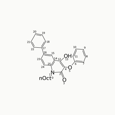 CCCCCCCCn1c(=O)c(Oc2ccccc2)c(O)c2cc(-c3ccccc3)ccc21